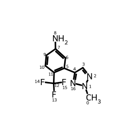 Cn1ncc(-c2cc(N)ccc2C(F)(F)F)n1